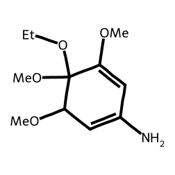 CCOC1(OC)C(OC)=CC(N)=CC1OC